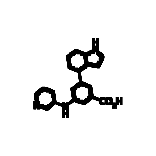 O=C(O)c1cc(Nc2cccnc2)cc(-c2cccc3[nH]ccc23)c1